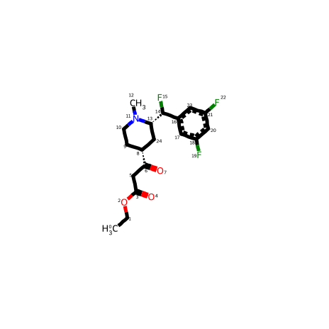 CCOC(=O)CC(=O)[C@@H]1CCN(C)[C@H](C(F)c2cc(F)cc(F)c2)C1